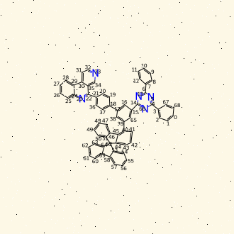 c1ccc(-c2nc(-c3ccccc3)nc(-c3cc(-c4ccc(-c5nc6ccccc6c6ccncc56)cc4)cc(-c4cccc5c4-c4ccccc4C54c5ccccc5-c5ccccc54)c3)n2)cc1